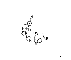 N#Cc1ccc(C(=O)Nc2cccc(N3CCN(Cc4nc5ccc(C(=O)O)cc5n4C[C@@H]4CCO4)CC3)n2)c(F)c1